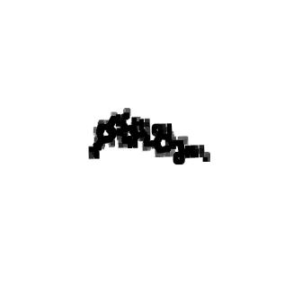 CN(Cc1ccc(C#N)cc1)c1ncnc(NCC2CCN(CC(N)=O)CC2O)c1F